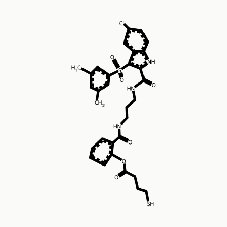 Cc1cc(C)cc(S(=O)(=O)c2c(C(=O)NCCCNC(=O)c3ccccc3OC(=O)CCCS)[nH]c3ccc(Cl)cc23)c1